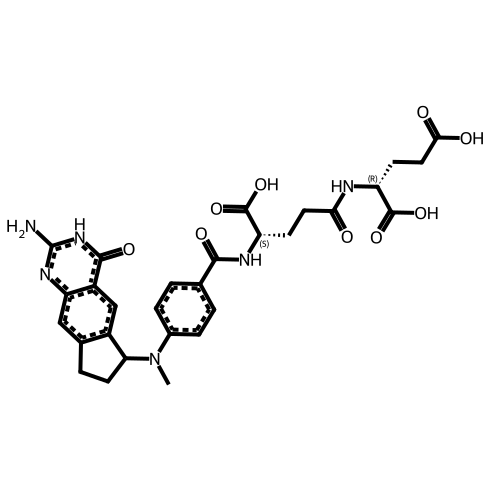 CN(c1ccc(C(=O)N[C@@H](CCC(=O)N[C@H](CCC(=O)O)C(=O)O)C(=O)O)cc1)C1CCc2cc3nc(N)[nH]c(=O)c3cc21